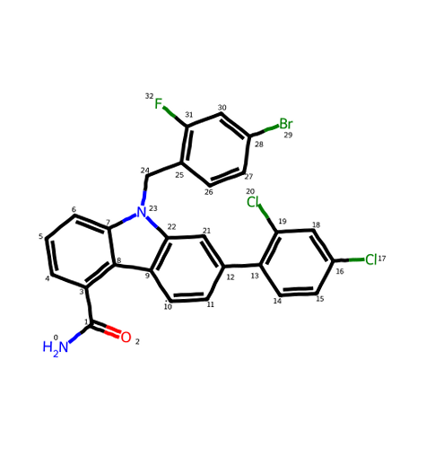 NC(=O)c1cccc2c1c1[c]cc(-c3ccc(Cl)cc3Cl)cc1n2Cc1ccc(Br)cc1F